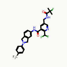 CC(C)(F)C(=O)NCc1cnc(C(F)F)c(C(=O)Nc2ccc3c(c2)CN(c2ccc(C(F)(F)F)cc2)C3)c1